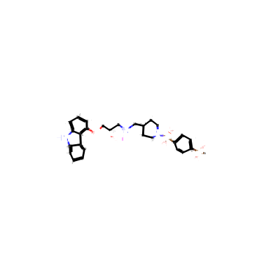 CS(=O)(=O)c1ccc(S(=O)(=O)N2CCC(CNC[C@H](O)COc3cccc4[nH]c5ccccc5c34)CC2)cc1